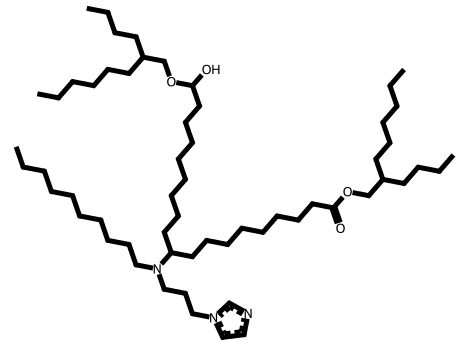 CCCCCCCCCCN(CCCn1ccnc1)C(CCCCCCCCC(=O)OCC(CCCC)CCCCCC)CCCCCCCCC(O)OCC(CCCC)CCCCCC